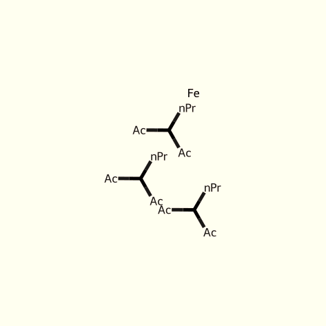 CCCC(C(C)=O)C(C)=O.CCCC(C(C)=O)C(C)=O.CCCC(C(C)=O)C(C)=O.[Fe]